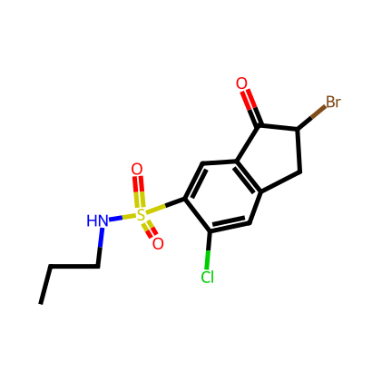 CCCNS(=O)(=O)c1cc2c(cc1Cl)CC(Br)C2=O